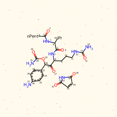 CCCCCC(=O)NC(C(=O)NC(CCCNC(N)=O)C(=O)C(OC(N)=O)c1ccc(N)cc1)C(C)C.O=C1C=CC(=O)N1